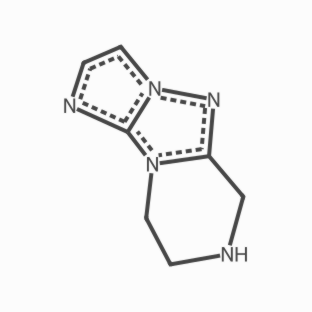 c1cn2nc3n(c2n1)CCNC3